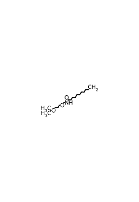 C=CCCCCCCCCC(=O)NCOCCCOC(C)C